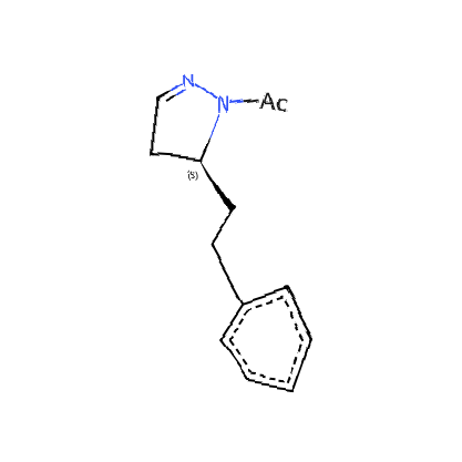 CC(=O)N1N=CC[C@@H]1CCc1ccccc1